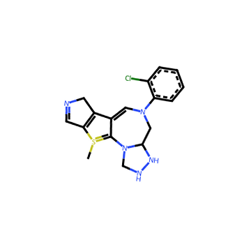 CS1=C2C(=CN(c3ccccc3Cl)CC3NNCN23)C2=C1C=NC2